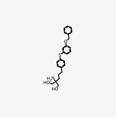 NC(CO)(CO)CCCc1ccc(Sc2cccc(OCc3ccccc3)c2)cc1